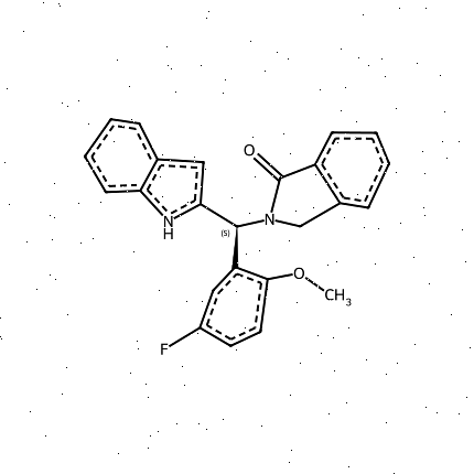 COc1ccc(F)cc1[C@@H](c1cc2ccccc2[nH]1)N1Cc2ccccc2C1=O